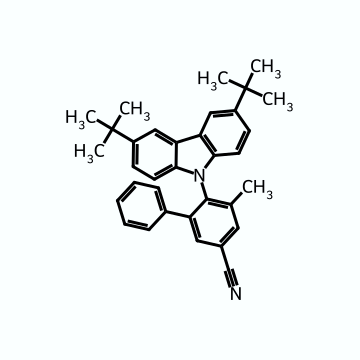 Cc1cc(C#N)cc(-c2ccccc2)c1-n1c2ccc(C(C)(C)C)cc2c2cc(C(C)(C)C)ccc21